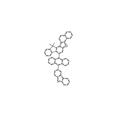 CC1(C)c2ccccc2-c2c(-c3c4ccccc4c(-c4ccc5sc6ccccc6c5c4)c4ccccc34)cc3oc4c5ccccc5ccc4c3c21